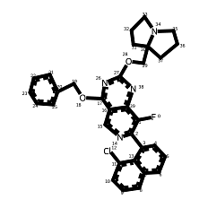 Fc1c(-c2cccc3cccc(Cl)c23)ncc2c(OCc3ccccc3)nc(OCC34CCCN3CCC4)nc12